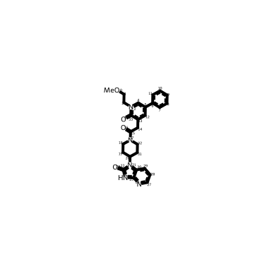 COCCn1cc(-c2ccccc2)cc(CC(=O)N2CCC(n3c(=O)[nH]c4ncccc43)CC2)c1=O